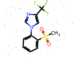 CS(=O)(=O)c1ccccc1-n1cnc(C(F)(F)F)c1